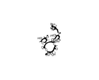 Bn1cc(CCN(C)[C@H]2C[C@@H](C)O[C@@H](O[C@@H]3[C@@H](C)C([C@H]4C[C@@](C)(OC)[C@@H](O)[C@H](C)O4)[C@@H](C)C(=O)O[C@H](CC)[C@@](C)(O)[C@H](O)[C@@H](C)C(=O)[C@H](C)C[C@@]3(C)O)[C@@H]2O)nn1